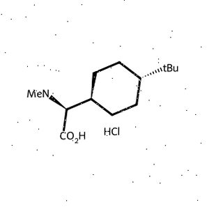 CN[C@H](C(=O)O)[C@H]1CC[C@H](C(C)(C)C)CC1.Cl